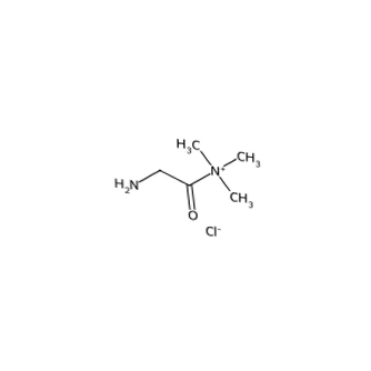 C[N+](C)(C)C(=O)CN.[Cl-]